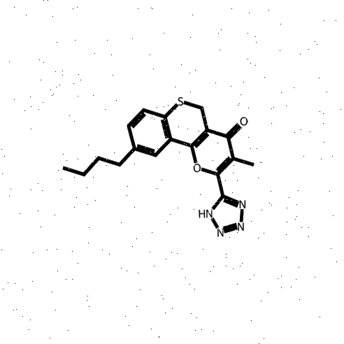 CCCCc1ccc2c(c1)-c1oc(-c3nnn[nH]3)c(C)c(=O)c1CS2